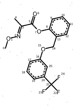 CON=C(C)C(=O)Oc1ccccc1COc1cccc(C(F)(F)F)c1